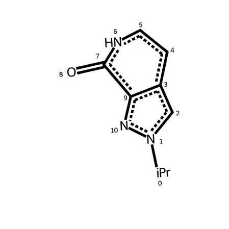 CC(C)n1cc2cc[nH]c(=O)c2n1